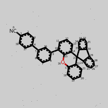 N#Cc1ccc(-c2cccc(-c3cccc4c3Oc3ccccc3C43c4ccccc4-c4ccccc43)c2)cc1